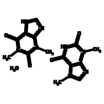 Cn1c(=O)c2[nH]cnc2n(C)c1=O.Cn1cnc2c1c(=O)[nH]c(=O)n2C.O